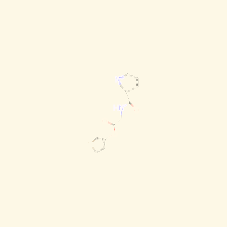 O=C(CNC(=O)c1cccnc1)Oc1ccsc1